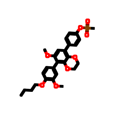 CCCCOc1ccc(-c2c(OC)cc(-c3ccc(OS(C)(=O)=O)cc3)c3c2OCCO3)cc1OC